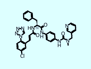 CN(Cc1cccnc1)C(=O)Nc1ccc(NC(=O)[C@H](Cc2ccccc2)NC(=O)C=Cc2cc(Cl)ccc2-n2cnnn2)cc1